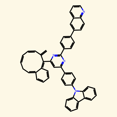 C=C1/C=C\C=C/C/C=c2/cccc/c2=C/1c1cc(-c2ccc(-n3c4ccccc4c4ccccc43)cc2)nc(-c2ccc(-c3ccc4ncccc4c3)cc2)n1